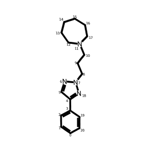 c1ccc(-c2cnn(CCCN3CCCCCC3)n2)cc1